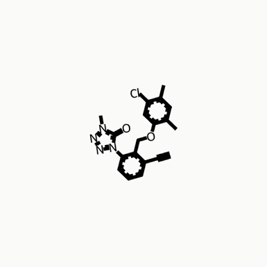 C#Cc1cccc(-n2nnn(C)c2=O)c1COc1cc(Cl)c(C)cc1C